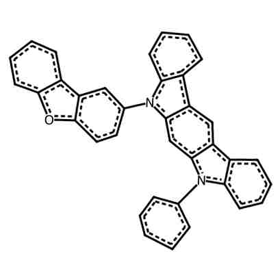 c1ccc(-n2c3ccccc3c3cc4c5ccccc5n(-c5ccc6oc7ccccc7c6c5)c4cc32)cc1